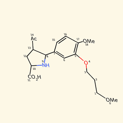 COCCCOc1cc(C2NC(C(=O)O)CC2C(C)=O)ccc1OC